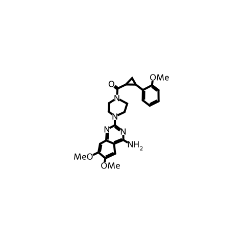 COc1cc2nc(N3CCN(C(=O)C4CC4c4ccccc4OC)CC3)nc(N)c2cc1OC